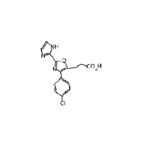 O=C(O)CCc1oc(-c2ncc[nH]2)nc1-c1ccc(Cl)cc1